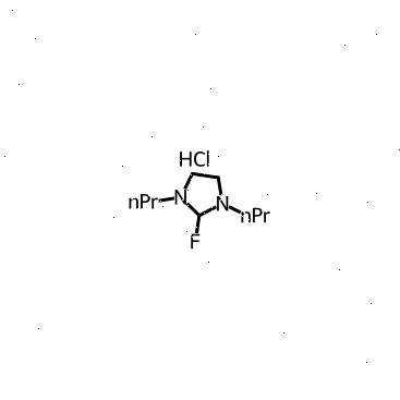 CCCN1CCN(CCC)C1F.Cl